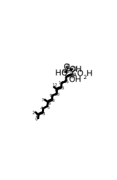 CC(C)=CCC/C(C)=C/CC/C(C)=C/CCCC(O)(C(=O)O)P(=O)(O)O